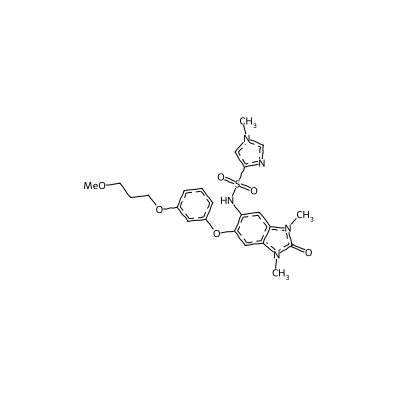 COCCCOc1cccc(Oc2cc3c(cc2NS(=O)(=O)c2cn(C)cn2)n(C)c(=O)n3C)c1